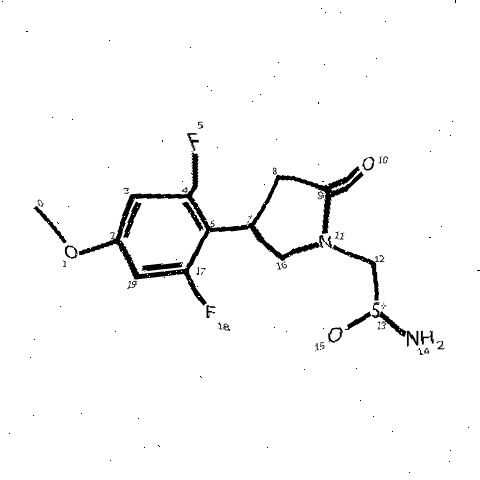 COc1cc(F)c(C2CC(=O)N(C[S+](N)[O-])C2)c(F)c1